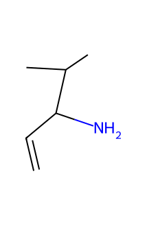 C=CC(N)C(C)C